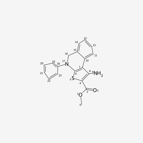 COC(=O)c1sc2c(c1N)-c1ccccc1CN2c1ccccc1